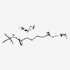 CC(C)(C)ONC(CCCNCN)C(=O)O